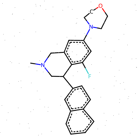 CN1Cc2cc(N3CCOCC3)cc(F)c2C(c2ccc3ccccc3c2)C1